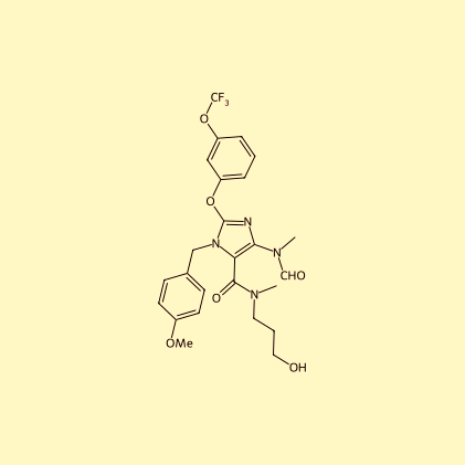 COc1ccc(Cn2c(Oc3cccc(OC(F)(F)F)c3)nc(N(C)C=O)c2C(=O)N(C)CCCO)cc1